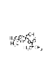 C=C(C)C(=O)OCC1(CC)COC(C)(C)OC1